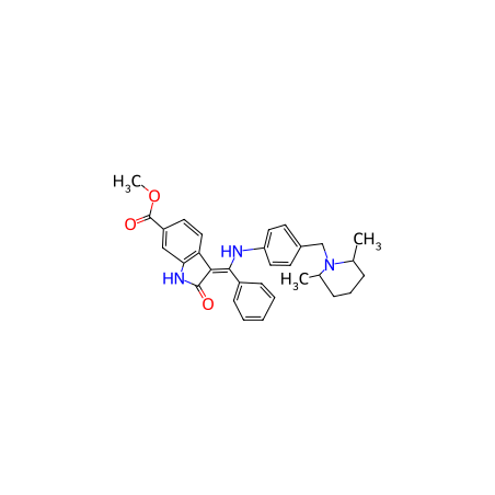 COC(=O)c1ccc2c(c1)NC(=O)C2=C(Nc1ccc(CN2C(C)CCCC2C)cc1)c1ccccc1